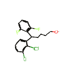 [O]CCCCC(c1cccc(Cl)c1Cl)c1c(F)cccc1F